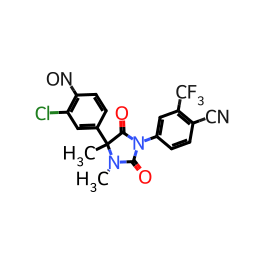 CN1C(=O)N(c2ccc(C#N)c(C(F)(F)F)c2)C(=O)C1(C)c1ccc(N=O)c(Cl)c1